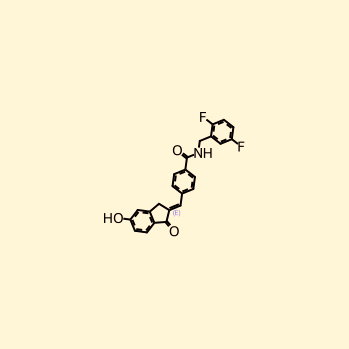 O=C(NCc1cc(F)ccc1F)c1ccc(/C=C2\Cc3cc(O)ccc3C2=O)cc1